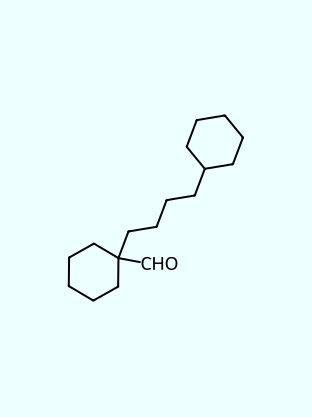 O=CC1(CCCCC2CCCCC2)CCCCC1